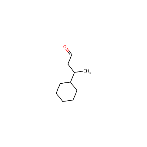 CC(CC=O)C1CCCCC1